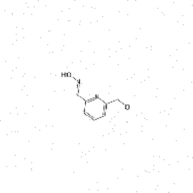 [O]Cc1cccc(C=NO)n1